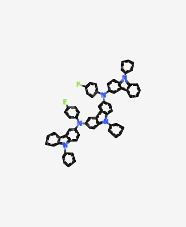 Fc1ccc(N(c2ccc3c(c2)c2ccccc2n3-c2ccccc2)c2ccc3c(c2)c2cc(N(c4ccc(F)cc4)c4ccc5c(c4)c4ccccc4n5-c4ccccc4)ccc2n3-c2ccccc2)cc1